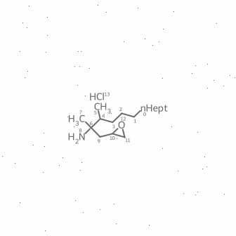 CCCCCCCCCCC(C)C(C)(N)CC1CO1.Cl